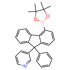 CC1(C)OB(c2cccc3c2-c2ccccc2C3(c2ccccc2)c2cccnc2)OC1(C)C